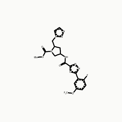 CC(C)(C)OC(=O)N1CC(NC(=O)c2nnc(-c3cc(OC(F)(F)F)ccc3F)o2)CC1Cn1ccnn1